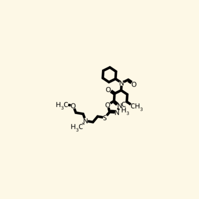 COCCN(C)CCSc1nnc(C(=O)C(CC(C)C)N(C=O)C2CCCCC2)o1